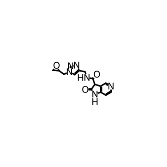 O=C(NCc1cn(CC2CO2)nn1)C1C(=O)Nc2ccncc21